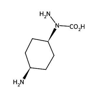 NN(C(=O)O)[C@H]1CC[C@@H](N)CC1